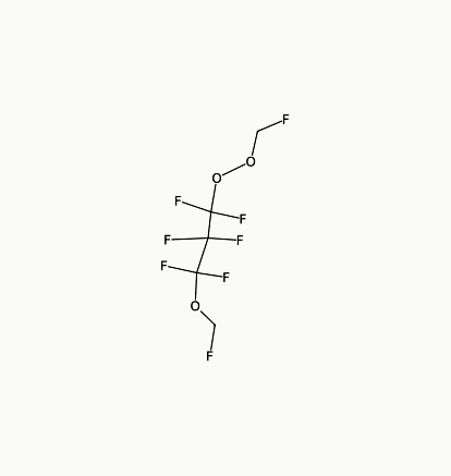 FCOOC(F)(F)C(F)(F)C(F)(F)OCF